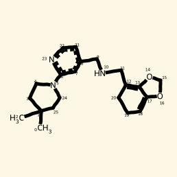 CC1(C)CCN(c2cc(CNCC3=C4OCOC4=CCC3)ccn2)CC1